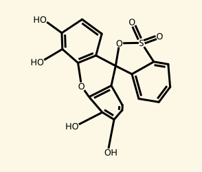 O=S1(=O)OC2(c3ccccc31)c1ccc(O)c(O)c1Oc1c2ccc(O)c1O